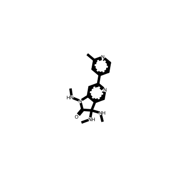 CNN1C(=O)C(NC)(NC)c2cnc(-c3ccnc(C)c3)cc21